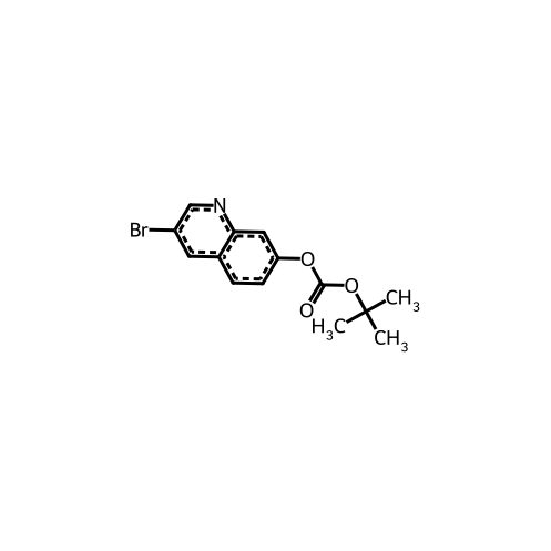 CC(C)(C)OC(=O)Oc1ccc2cc(Br)cnc2c1